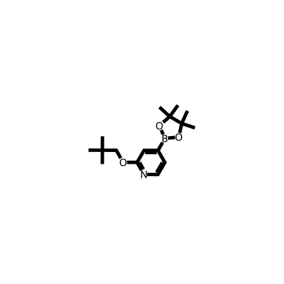 CC(C)(C)COc1cc(B2OC(C)(C)C(C)(C)O2)ccn1